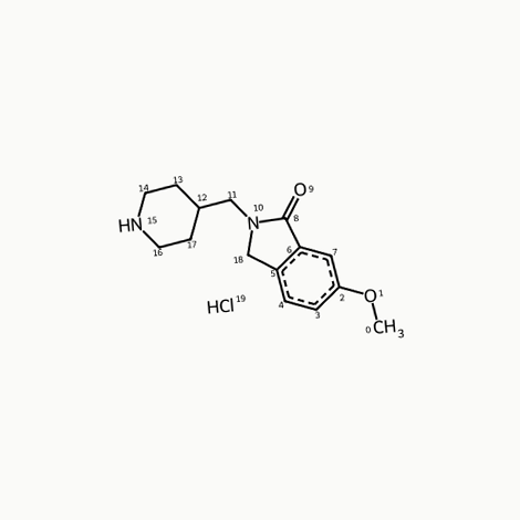 COc1ccc2c(c1)C(=O)N(CC1CCNCC1)C2.Cl